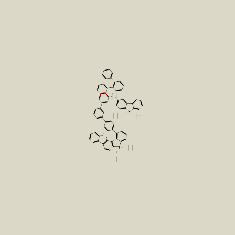 CC1(C)c2ccccc2-c2cc(N(c3cccc(-c4cccc(-c5ccc6c(c5)-n5c7ccccc7c7ccc8c(c75)-c5c-6cccc5C8(C)C)c4)c3)c3cccc(-c4ccccc4)c3-c3ccccc3)ccc21